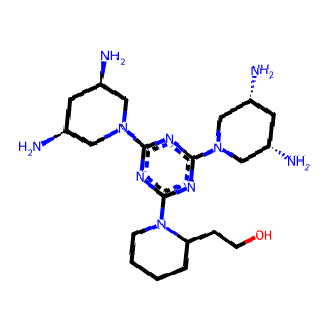 N[C@@H]1C[C@H](N)CN(c2nc(N3C[C@H](N)C[C@H](N)C3)nc(N3CCCCC3CCO)n2)C1